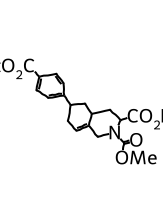 CCOC(=O)c1ccc(C2CC=C3CN(C(=O)OC)C(C(=O)OCC)CC3C2)cc1